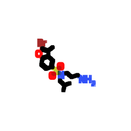 Cc1c(Br)oc2ccc(S(=O)(=O)N(CCCN)CC(C)C)cc12